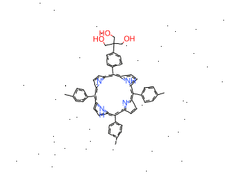 Cc1ccc(-c2c3nc(c(-c4ccc(C)cc4)c4ccc([nH]4)c(-c4ccc(C(CO)(CO)CO)cc4)c4nc(c(-c5ccc(C)cc5)c5ccc2[nH]5)C=C4)C=C3)cc1